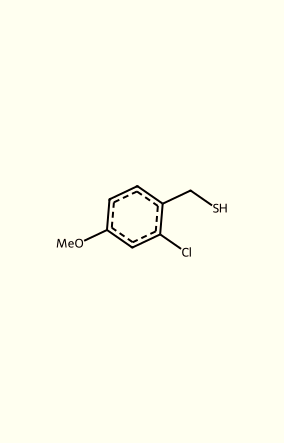 COc1ccc(CS)c(Cl)c1